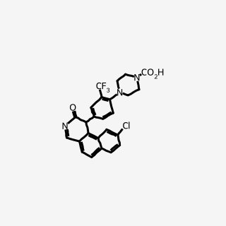 O=C1N=Cc2ccc3ccc(Cl)cc3c2C1c1ccc(N2CCN(C(=O)O)CC2)c(C(F)(F)F)c1